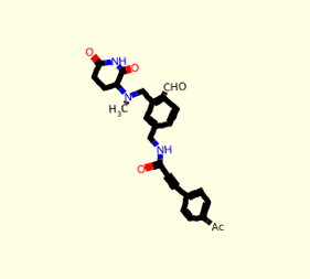 CC(=O)c1ccc(C#CC(=O)NCc2ccc(C=O)c(CN(C)C3CCC(=O)NC3=O)c2)cc1